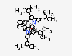 Cc1cc(C)cc(-c2ccc3c(c2)c2cc(-c4cc(C)cc(C)c4)ccc2n3-c2ccc(C#N)c(-c3cc(-c4c(C(F)(F)F)cccc4C(F)(F)F)ccc3-n3c4ccc(-c5cc(C)cc(C)c5)cc4c4cc(-c5cc(C)cc(C)c5)ccc43)c2)c1